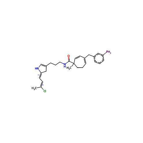 C/C(Cl)=C\C=C1/CC(CCCNC(=O)C2(C)C=CC(Cc3cccc(P)c3)=CCC2)=CN1